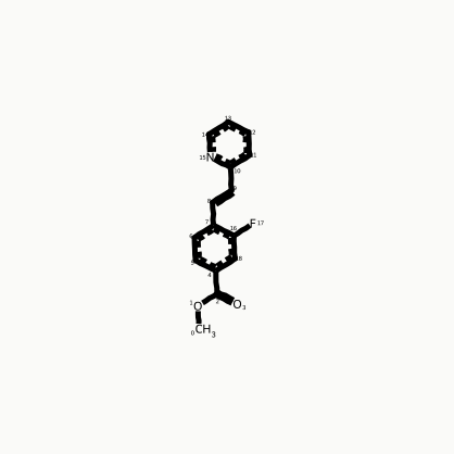 COC(=O)c1ccc(C=Cc2ccccn2)c(F)c1